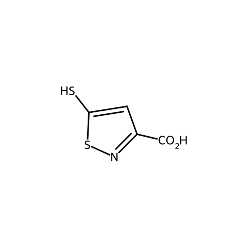 O=C(O)c1cc(S)sn1